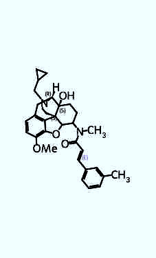 COc1ccc2c3c1OC1C(N(C)C(=O)/C=C/c4cccc(C)c4)CC[C@@]4(O)[C@@H](C2)N(CC2CC2)CC[C@]314